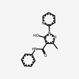 Cc1nn(-c2ccccn2)c(O)c1C(=O)Nc1ccccc1